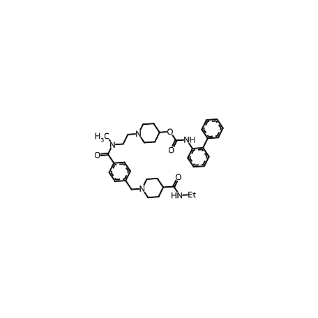 CCNC(=O)C1CCN(Cc2ccc(C(=O)N(C)CCN3CCC(OC(=O)Nc4ccccc4-c4ccccc4)CC3)cc2)CC1